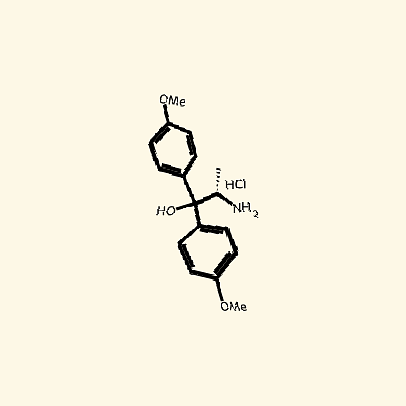 COc1ccc(C(O)(c2ccc(OC)cc2)[C@H](C)N)cc1.Cl